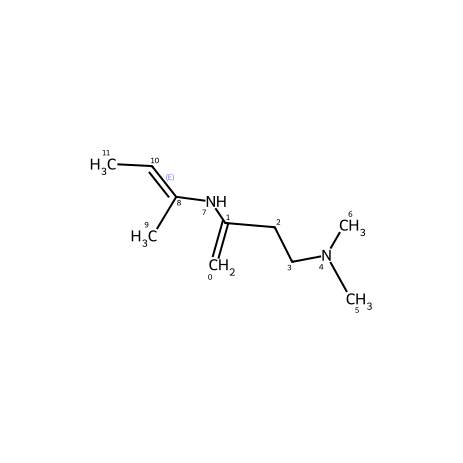 C=C(CCN(C)C)N/C(C)=C/C